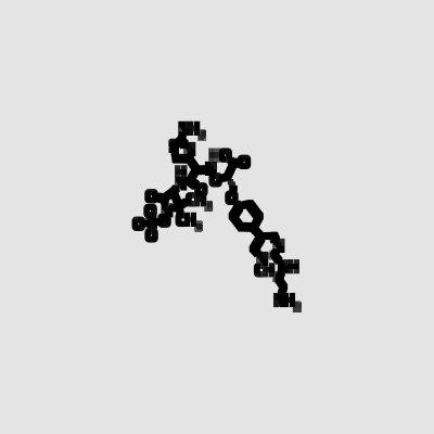 C[n+]1cc(-c2ccc(OC[C@H](O/N=C(\C(=O)NC3C(=O)N(OS(=O)(=O)[O-])C3(C)C)c3csc(N)n3)C(=O)O)cc2)cnc1NCCN